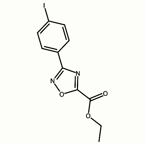 CCOC(=O)c1nc(-c2ccc(I)cc2)no1